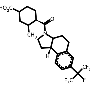 CC1CC(C(=O)O)CC[C@H]1C(=O)N1CC[C@H]2c3ccc(C(F)(C(F)(F)F)C(F)(F)F)cc3CCC21